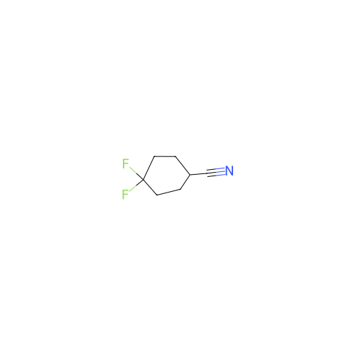 N#CC1CCC(F)(F)CC1